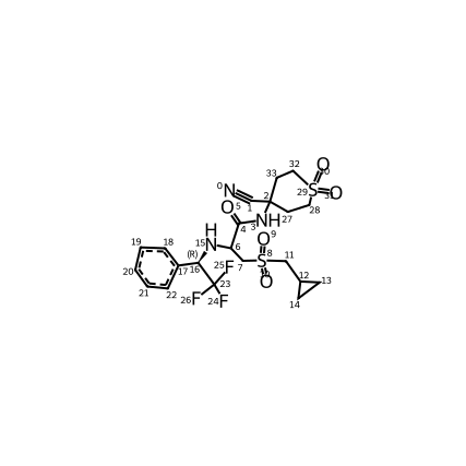 N#CC1(NC(=O)C(CS(=O)(=O)CC2CC2)N[C@H](c2ccccc2)C(F)(F)F)CCS(=O)(=O)CC1